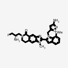 COc1cccc2cc(-c3nc4cc5c(cc4n3C)CCN(C[C@H](N)CF)C5=O)n(Cc3cc(N)no3)c12